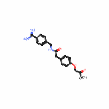 COC(=O)COc1ccc(CC(=O)NCc2ccc(C(=N)N)cc2)cc1